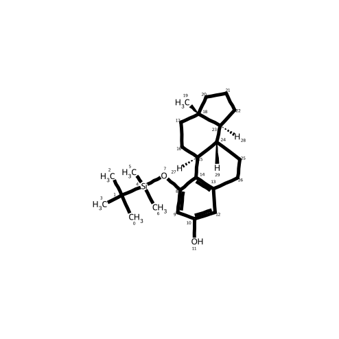 CC(C)(C)[Si](C)(C)Oc1cc(O)cc2c1[C@H]1CC[C@]3(C)CCC[C@H]3[C@@H]1CC2